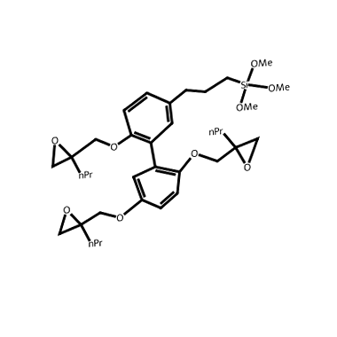 CCCC1(COc2ccc(OCC3(CCC)CO3)c(-c3cc(CCC[Si](OC)(OC)OC)ccc3OCC3(CCC)CO3)c2)CO1